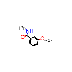 CCCOc1cccc(C(=O)NC(C)C)c1